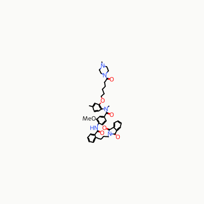 COc1cc(C(=O)N(C)c2ccc(C)cc2OCCCCCC(=O)N2CCN(C)CC2)ccc1NC(=O)c1ccccc1CCCN1C(=O)c2ccccc2C1=O